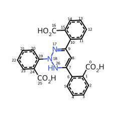 O=C(O)c1ccccc1C1=CC(c2ccccc2C(=O)O)=NN(c2ccccc2C(=O)O)N1